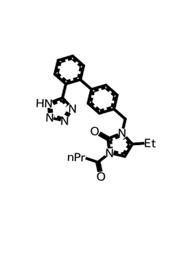 CCCC(=O)n1cc(CC)n(Cc2ccc(-c3ccccc3-c3nnn[nH]3)cc2)c1=O